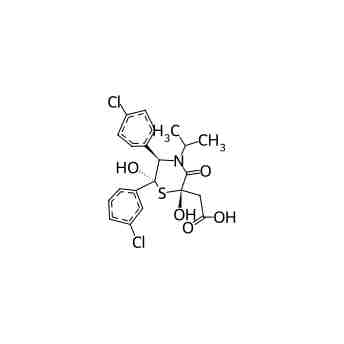 CC(C)N1C(=O)[C@](O)(CC(=O)O)S[C@@](O)(c2cccc(Cl)c2)[C@H]1c1ccc(Cl)cc1